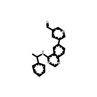 CC(Nc1ncnc2ccc(-c3cncc(C=O)c3)cc12)c1ccccc1